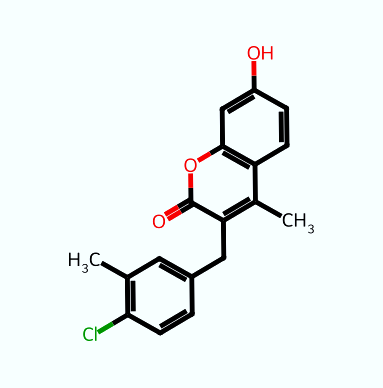 Cc1cc(Cc2c(C)c3ccc(O)cc3oc2=O)ccc1Cl